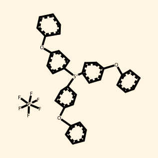 F[P-](F)(F)(F)(F)F.c1ccc(Oc2ccc([S+](c3ccc(Oc4ccccc4)cc3)c3ccc(Oc4ccccc4)cc3)cc2)cc1